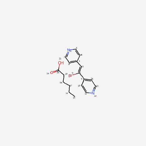 BrC(=Cc1ccncc1)c1ccncc1.CCCCCC(=O)O